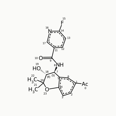 CC(=O)c1ccc2c(c1)[C@H](NC(=O)c1ccc(F)nc1)[C@@H](O)C(C)(C)O2